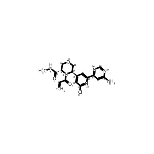 C=CC(=O)N1[C@H](C(=O)NC)COC[C@H]1c1cc(Cl)nc(-c2cc(N)ncn2)c1